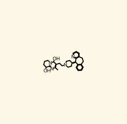 CC1=C(CCN2CCC(=C3c4ccccc4CCc4cccnc43)CC2)C(O)N2CCCC(O)C2=N1